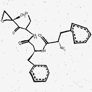 CC(C)CC(NC(=O)[C@H](Cc1ccccc1)NC(=O)[C@@H](N)Cc1ccccc1)C(=O)[C@@]1(C)CO1